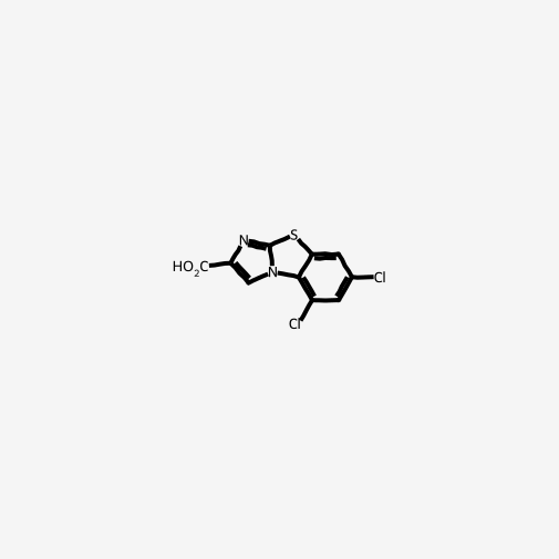 O=C(O)c1cn2c(n1)sc1cc(Cl)cc(Cl)c12